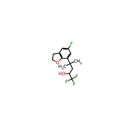 CC(C)(CC(O)C(F)(F)F)c1cc(F)cc2c1OCC2